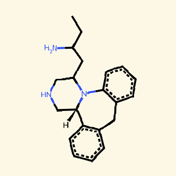 CCC(N)CC1CNC[C@H]2c3ccccc3Cc3ccccc3N12